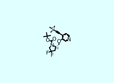 CC(C)(C)OC(=O)N1CC(F)(F)C[C@H]1COc1cnccc1C#C[Si](C)(C)C